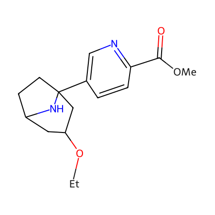 CCOC1CC2CCC(c3ccc(C(=O)OC)nc3)(C1)N2